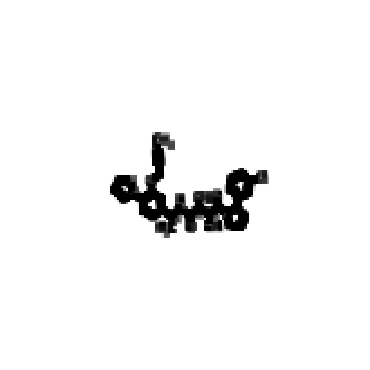 CC#CCOc1cc([C@@H](C)NC(=O)[C@H](O)[C@@H](O)C(=O)N2CC=CC2c2cccc(Cl)c2)ccc1-n1cccn1